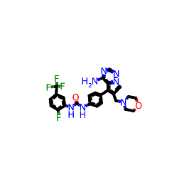 Nc1ncnn2cc(CN3CCOCC3)c(-c3ccc(NC(=O)Nc4cc(C(F)(F)F)ccc4F)cc3)c12